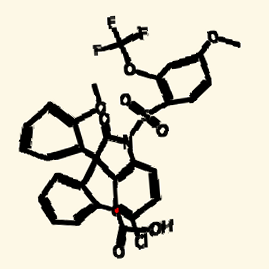 COc1ccc(S(=O)(=O)N2C(=O)C(c3ccccc3OC)(c3ccccc3OC(=O)O)c3cc(Cl)ccc32)c(OC(F)(F)F)c1